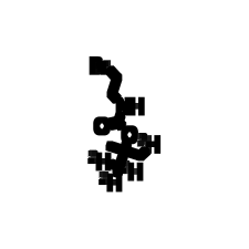 [2H]CC(C)(OC(=O)NCCBr)C([2H])([2H])[2H]